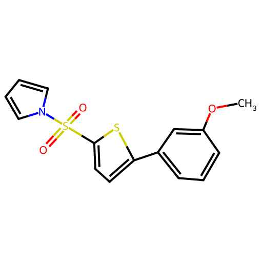 COc1cccc(-c2ccc(S(=O)(=O)n3cccc3)s2)c1